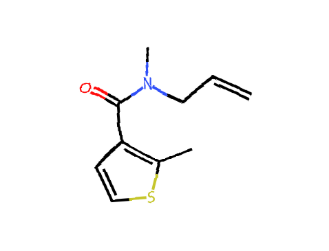 C=CCN(C)C(=O)c1ccsc1C